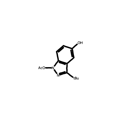 CC(=O)On1nc(C(C)(C)C)c2cc(O)ccc21